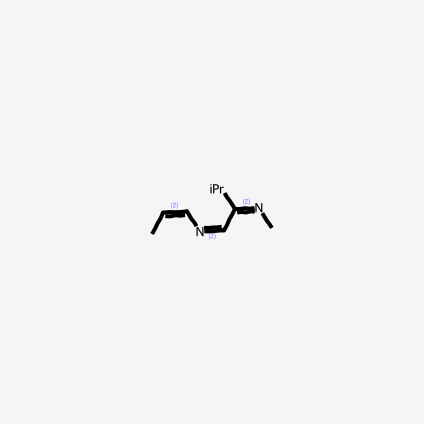 C\C=C/N=C\C(=N/C)C(C)C